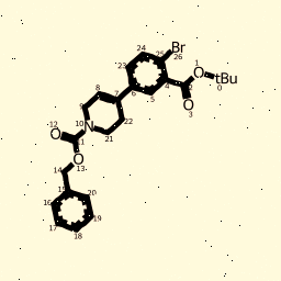 CC(C)(C)OC(=O)c1cc(C2=CCN(C(=O)OCc3ccccc3)CC2)ccc1Br